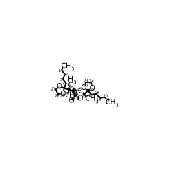 CCCCCC1(C(C)(C)O[PH](=O)OC(C)(C)C2(CCCCC)OCCO2)OCCO1